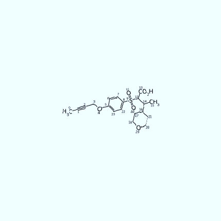 CC#CCOc1ccc(S(=O)(=O)C(C(=O)O)C(C)C2CCOCC2)cc1